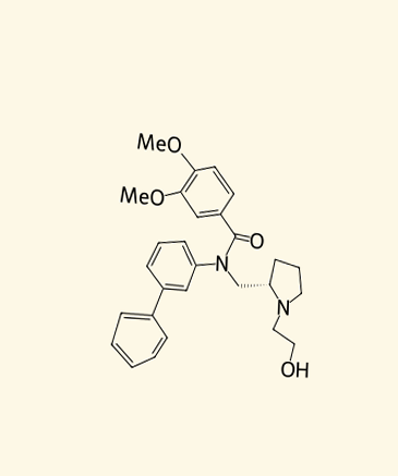 COc1ccc(C(=O)N(C[C@@H]2CCCN2CCO)c2cccc(-c3ccccc3)c2)cc1OC